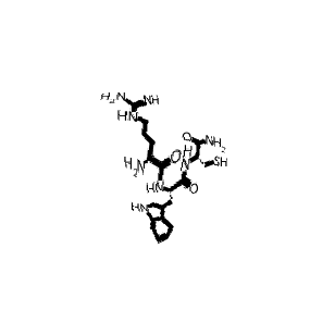 N=C(N)NCCC[C@H](N)C(=O)N[C@@H](Cc1c[nH]c2ccccc12)C(=O)N[C@@H](CS)C(N)=O